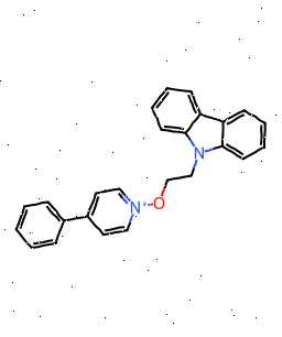 c1ccc(-c2cc[n+](OCCn3c4ccccc4c4ccccc43)cc2)cc1